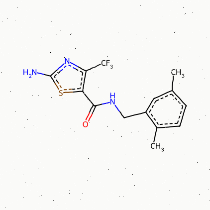 Cc1ccc(C)c(CNC(=O)c2sc(N)nc2C(F)(F)F)c1